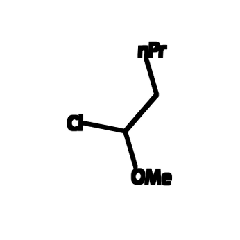 CCCCC(Cl)OC